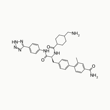 Cc1cc(C(N)=O)ccc1-c1ccc(C[C@H](NC(=O)C2CCC(CN)CC2)C(=O)Nc2ccc(-c3nn[nH]n3)cc2)cc1